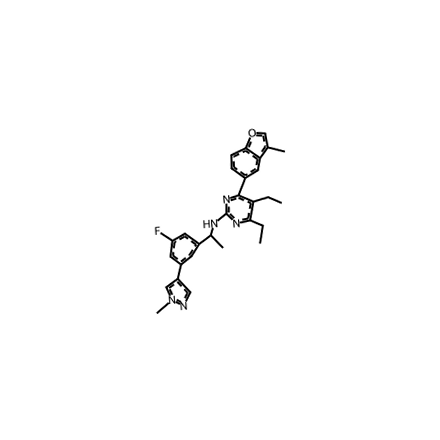 CCc1nc(NC(C)c2cc(F)cc(-c3cnn(C)c3)c2)nc(-c2ccc3occ(C)c3c2)c1CC